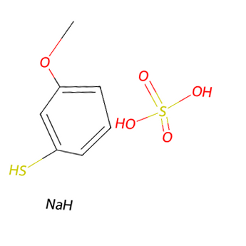 COc1cccc(S)c1.O=S(=O)(O)O.[NaH]